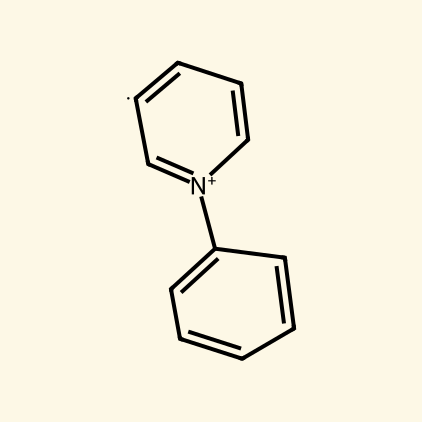 [c]1ccc[n+](-c2ccccc2)c1